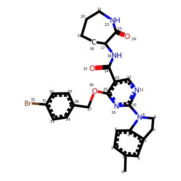 Cc1ccc2c(c1)CCN2c1ncc(C(=O)NC2CCCCNC2=O)c(OCc2ccc(Br)cc2)n1